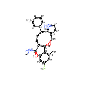 CNC(=O)c1ccc(-c2cccc(C)c2)c2[nH]ccc2coc1-c1ccc(F)cc1C